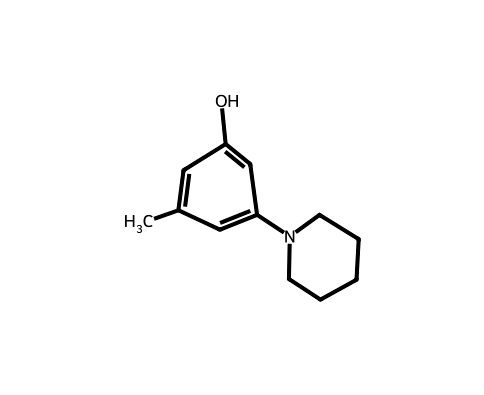 Cc1cc(O)cc(N2CCCCC2)c1